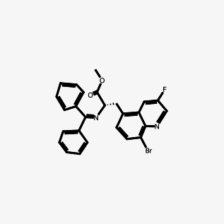 COC(=O)[C@H](Cc1ccc(Br)c2ncc(F)cc12)N=C(c1ccccc1)c1ccccc1